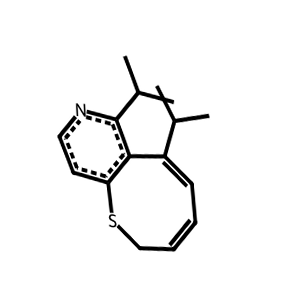 CC(C)/C1=C/C=C\CSc2ccnc(C(C)C)c21